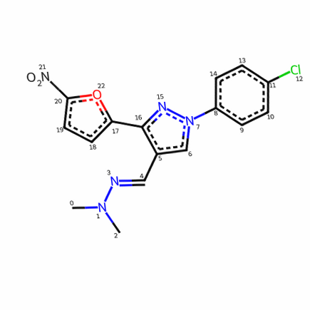 CN(C)/N=C/c1cn(-c2ccc(Cl)cc2)nc1-c1ccc([N+](=O)[O-])o1